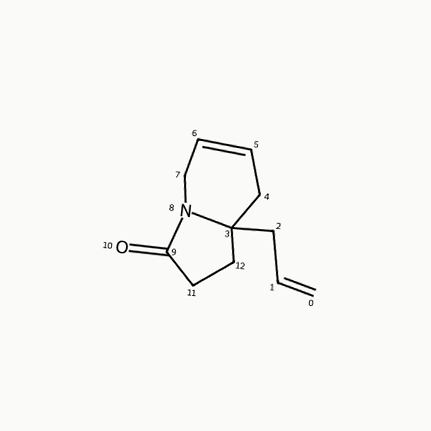 C=CCC12CC=CCN1C(=O)CC2